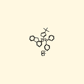 CC(C)(C)C1=CC[C]([Zr+2]([c]2cccc3c2Cc2ccccc2-3)[CH](c2ccccc2)c2ccccc2)=C1.[Cl-].[Cl-]